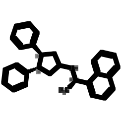 C[C@@H](NC1C[C@H](c2ccccc2)[C@@H](c2ccccc2)C1)c1cccc2ccccc12